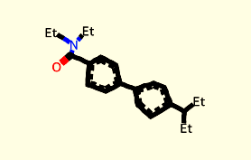 CCC(CC)c1ccc(-c2ccc(C(=O)N(CC)CC)cc2)cc1